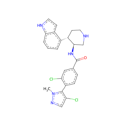 Cn1ncc(Cl)c1-c1ccc(C(=O)N[C@@H]2CNCC[C@H]2c2cccc3[nH]ccc23)cc1Cl